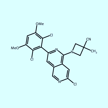 COc1cc(OC)c(Cl)c(-c2cc3cnc(Cl)cc3c(N3CC(C)(C#N)C3)n2)c1Cl